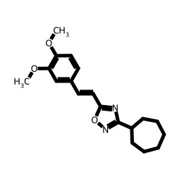 COc1ccc(/C=C/c2nc(C3CCCCCC3)no2)cc1OC